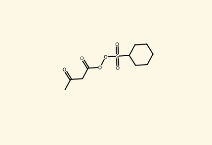 CC(=O)CC(=O)OOS(=O)(=O)C1CCCCC1